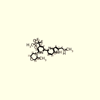 CNCc1cc2nc(-c3cc(C(F)(F)S(C)(=O)=O)cc(N4CCOC[C@@H]4C)n3)ccc2[nH]1